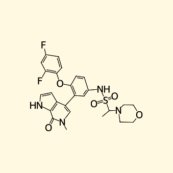 CC(N1CCOCC1)S(=O)(=O)Nc1ccc(Oc2ccc(F)cc2F)c(-c2cn(C)c(=O)c3[nH]ccc23)c1